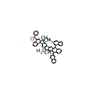 CC1(C)c2cc3c(cc2-c2cc4c(-c5cccc6ccccc56)c5ccccc5c(-c5ccc6ccccc6c5)c4cc21)C(C)(C)c1cc(C(=O)c2ccccc2)c2ccccc2c1-3